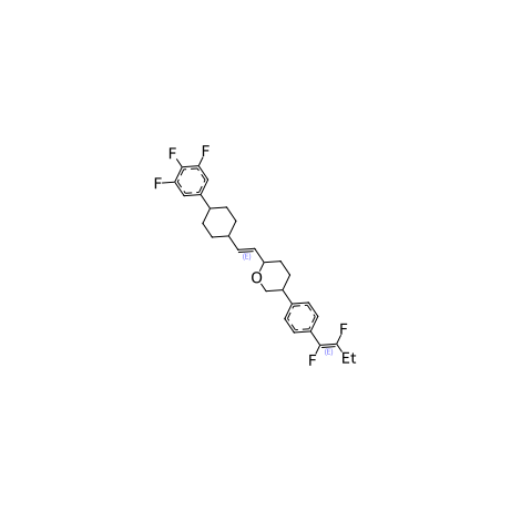 CC/C(F)=C(\F)c1ccc(C2CCC(/C=C/C3CCC(c4cc(F)c(F)c(F)c4)CC3)OC2)cc1